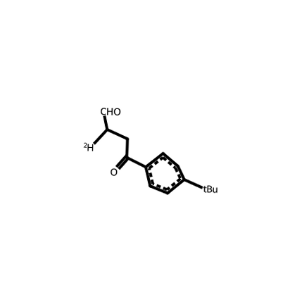 [2H]C(C=O)CC(=O)c1ccc(C(C)(C)C)cc1